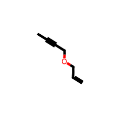 C=CCOCC#CC